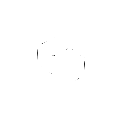 [B]1C2CCCC1CCC2